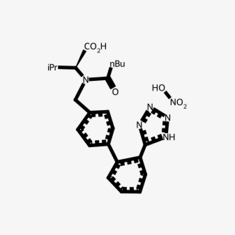 CCCCC(=O)N(Cc1ccc(-c2ccccc2-c2nnn[nH]2)cc1)[C@H](C(=O)O)C(C)C.O=[N+]([O-])O